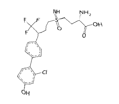 N=S(=O)(CCC(c1ccc(-c2ccc(O)cc2Cl)cc1)C(F)(F)F)CC[C@H](N)C(=O)O